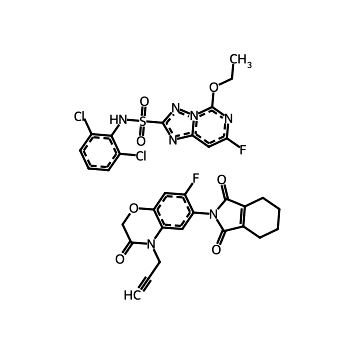 C#CCN1C(=O)COc2cc(F)c(N3C(=O)C4=C(CCCC4)C3=O)cc21.CCOc1nc(F)cc2nc(S(=O)(=O)Nc3c(Cl)cccc3Cl)nn12